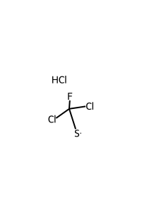 Cl.FC([S])(Cl)Cl